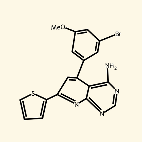 COc1cc(Br)cc(-c2cc(-c3cccs3)nc3ncnc(N)c23)c1